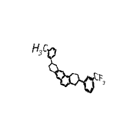 Cc1cccc(C2CCc3cc4ccc5c(c4cc3C2)CCC(c2cccc(C(F)(F)F)c2)C5)c1